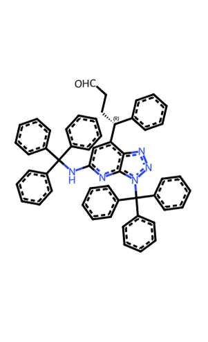 O=CCC[C@H](c1ccccc1)c1cc(NC(c2ccccc2)(c2ccccc2)c2ccccc2)nc2c1nnn2C(c1ccccc1)(c1ccccc1)c1ccccc1